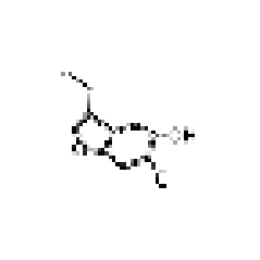 [CH2]Cc1coc2cc(Cl)c(O)cc12